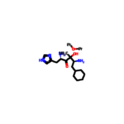 CC(C)OC(C)C.N[C@@H](Cc1c[nH]cn1)C(=O)C(O)(C(=O)O)[C@@H](N)CC1CCCCC1